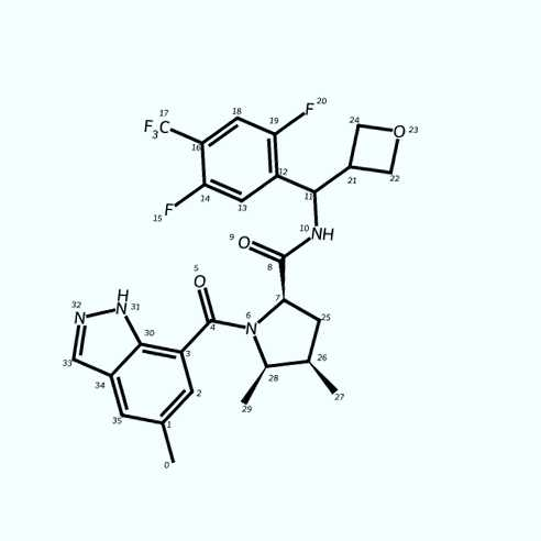 Cc1cc(C(=O)N2[C@@H](C(=O)NC(c3cc(F)c(C(F)(F)F)cc3F)C3COC3)C[C@@H](C)[C@H]2C)c2[nH]ncc2c1